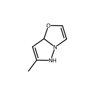 CC1=CC2OC=CN2N1